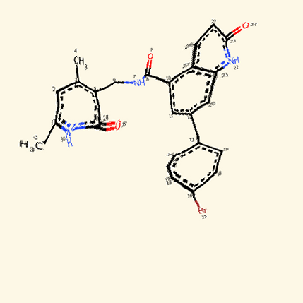 Cc1cc(C)c(CNC(=O)c2cc(-c3ccc(Br)cc3)cc3[nH]c(=O)ccc23)c(=O)[nH]1